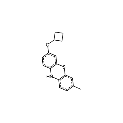 Cc1ccc2c(c1)Sc1cc(OC3CCC3)ccc1N2